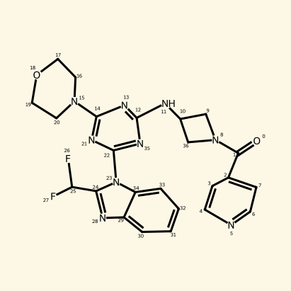 O=C(c1ccncc1)N1CC(Nc2nc(N3CCOCC3)nc(-n3c(C(F)F)nc4ccccc43)n2)C1